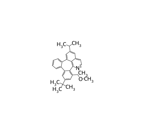 COCc1cc(C(C)(C)C)cc2c1-c1c3c(cc(C(C)C)cc3cc[n+]1C)-c1ccccc1-2